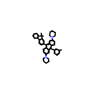 Cc1cccc(-c2c3ccc(N4CCCCC4)cc3c(-c3ccc4c(c3)C(C)(C)c3ccccc3-4)c3ccc(N4CCCCC4)cc23)c1